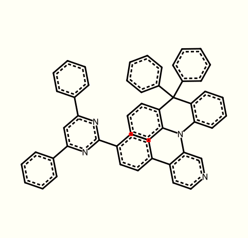 c1ccc(-c2cc(-c3ccccc3)nc(-c3ccc(-c4ccncc4N4c5ccccc5C(c5ccccc5)(c5ccccc5)c5ccccc54)cc3)n2)cc1